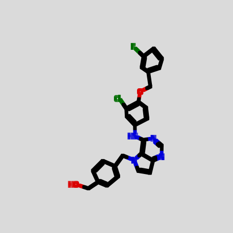 OCc1ccc(Cn2ccc3ncnc(Nc4ccc(OCc5cccc(F)c5)c(Cl)c4)c32)cc1